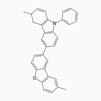 Cc1ccc2oc3ccc(-c4ccc5c(c4)c4c(n5-c5ccccc5)C=CC(C)C4)cc3c2c1